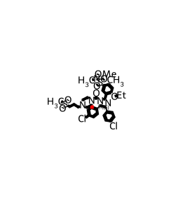 CCOc1cc(C)c(S(=O)(=O)N(C)OC)cc1C1=N[C@@H](c2ccc(Cl)cc2)[C@@H](c2ccc(Cl)cc2)N1C(=O)N1CCN(CCCS(C)(=O)=O)CC1